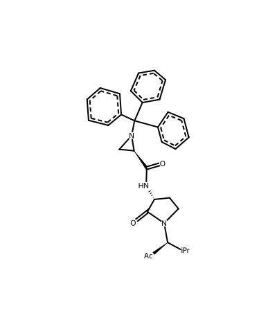 CC(=O)[C@H](C(C)C)N1CC[C@@H](NC(=O)[C@H]2CN2C(c2ccccc2)(c2ccccc2)c2ccccc2)C1=O